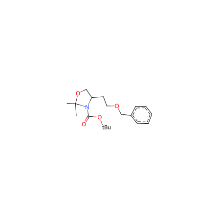 CC(C)(C)OC(=O)N1C(CCOCc2ccccc2)COC1(C)C